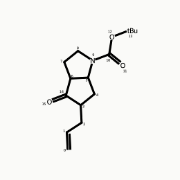 C=CCC1CC2C(CCN2C(=O)OC(C)(C)C)C1=O